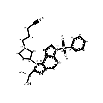 C[C@@H](O)c1nc2cnc3c(ccn3S(=O)(=O)c3ccccc3)c2n1[C@H]1CCN(CCCC#N)C1